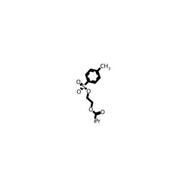 Cc1ccc(S(=O)(=O)OCCOC(=O)C(C)C)cc1